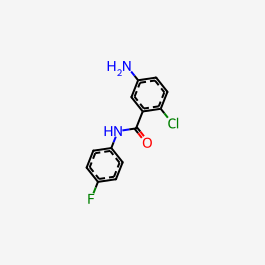 Nc1ccc(Cl)c(C(=O)Nc2ccc(F)cc2)c1